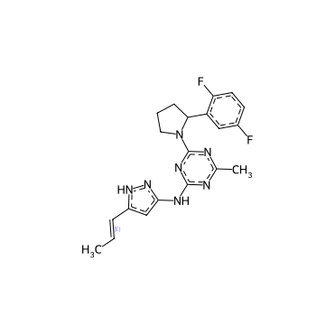 C/C=C/c1cc(Nc2nc(C)nc(N3CCCC3c3cc(F)ccc3F)n2)n[nH]1